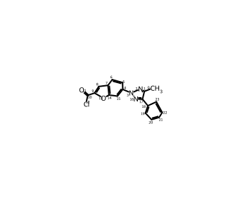 Cc1nn(-c2ccc3cc(C(=O)Cl)oc3c2)nc1-c1ccccc1